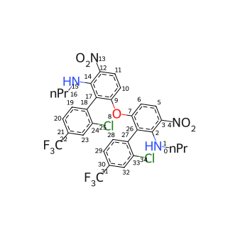 CCCNc1c([N+](=O)[O-])ccc(Oc2ccc([N+](=O)[O-])c(NCCC)c2-c2ccc(C(F)(F)F)cc2Cl)c1-c1ccc(C(F)(F)F)cc1Cl